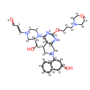 O=CC=CN1CCN(c2nc(OCCCN3CCOCC3)nc3c2CCN(c2cc(O)cc4ccccc24)C3)[C@@H](CO)C1